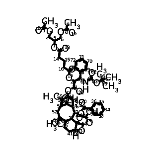 CC(=O)OCC(COC(C)=O)OC(=O)CCCC(=O)OC(C(=O)O[C@H]1CC2[C@@H](OC(=O)c3ccccc3)C3[C@@](C)(CC[C@H]4OC[C@@]34OC(C)=O)C(=O)CC(=C1C)C2(C)C)[C@@H](NC(=O)OC(C)(C)C)c1ccccc1